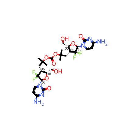 CC(C)(C[C@@H]1[C@H](CO)O[C@@H](n2ccc(N)nc2=O)C1(F)F)OC(=O)OC(C)(C)C[C@@H]1[C@H](CO)O[C@@H](n2ccc(N)nc2=O)C1(F)F